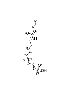 C=CCOC(=O)NCCOCC[N+](C)(C)CCOP(=O)([O-])O